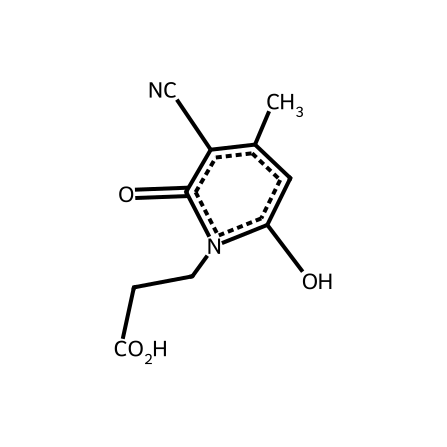 Cc1cc(O)n(CCC(=O)O)c(=O)c1C#N